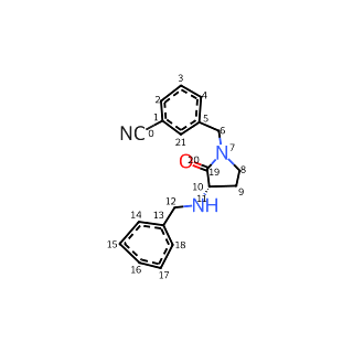 N#Cc1cccc(CN2CC[C@H](NCc3ccccc3)C2=O)c1